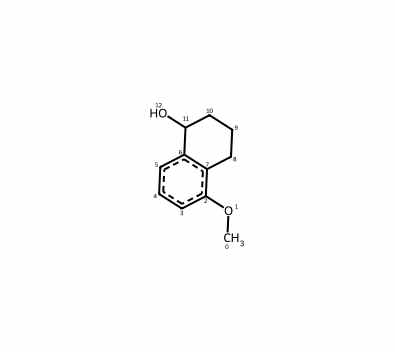 COc1cccc2c1CCCC2O